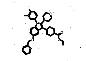 CCOC(=O)C1CC=C(c2c(C3CCOCC3)n(-c3ccc(F)c(C)c3)c3ccc(OCc4ccccc4)cc23)CC1